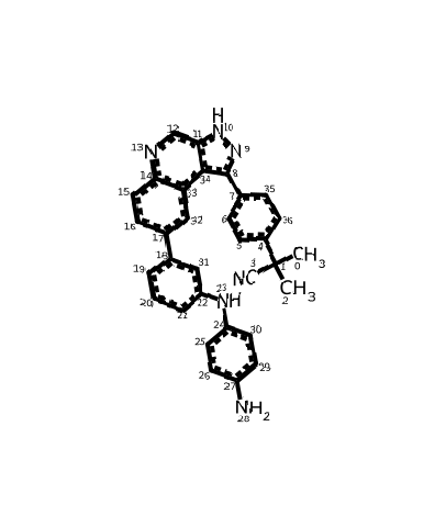 CC(C)(C#N)c1ccc(-c2n[nH]c3cnc4ccc(-c5cccc(Nc6ccc(N)cc6)c5)cc4c23)cc1